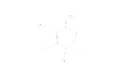 COc1cc(C=O)c([N+](=O)[O-])c(I)c1OC